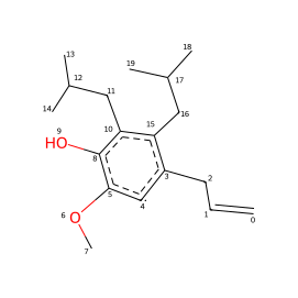 C=CCc1[c]c(OC)c(O)c(CC(C)C)c1CC(C)C